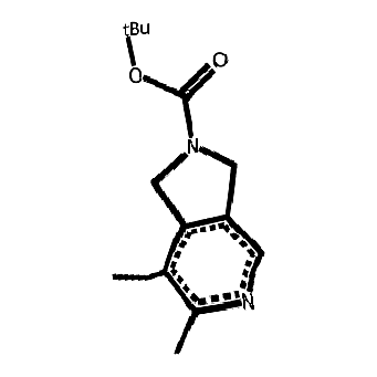 Cc1ncc2c(c1C)CN(C(=O)OC(C)(C)C)C2